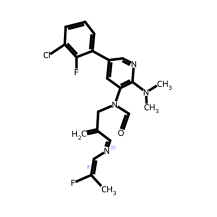 C=C(/C=N\C=C(/C)F)CN(C=O)c1cc(-c2cccc(Cl)c2F)cnc1N(C)C